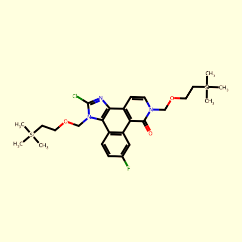 C[Si](C)(C)CCOCn1ccc2c3nc(Cl)n(COCC[Si](C)(C)C)c3c3ccc(F)cc3c2c1=O